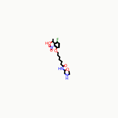 CC(O)c1c(F)ccc(OCCCCCCC(=O)NC2CNCCO2)c1[N+](=O)[O-]